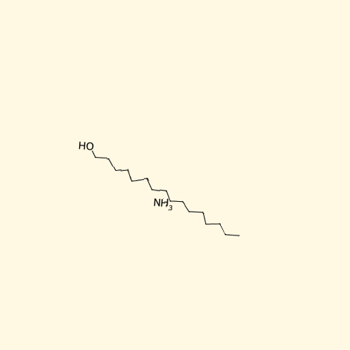 CCCCCCCCCCCCCCCCO.N